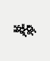 C=C(NC(C)C(=O)O)C(N)C(C)C